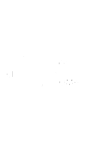 COC(=O)c1ccc(Cl)c(I)c1C